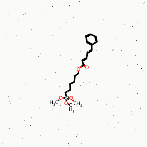 CO[Si](CCCCCCOC(=O)/C=C/C=C/c1ccccc1)(OC)OC